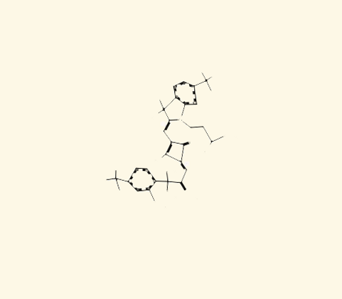 C=C(/C=C1/C(=O)C(/C=C2\N(CCC(C)C)c3cc(C(F)(F)F)ccc3C2(C)C)=C1O)C(C)(C)c1ccc(C(F)(F)F)cc1C